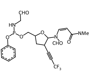 CNC(=O)/C=C\N(C=O)C1OC(COP(NCC=O)Oc2ccccc2)CC1C#CC(F)(F)F